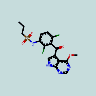 CCCS(=O)(=O)Nc1ccc(F)c(C(=O)c2c[nH]c3ncnc(OC)c23)c1F